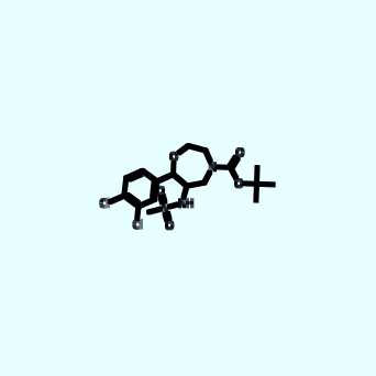 CC(C)(C)OC(=O)N1CCOC(c2ccc(Cl)c(Cl)c2)C(NS(C)(=O)=O)C1